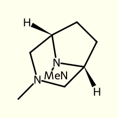 CNN1[C@@H]2CC[C@H]1CN(C)C2